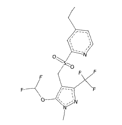 CCc1ccnc(S(=O)(=O)Cc2c(C(F)(F)F)nn(C)c2OC(F)F)c1